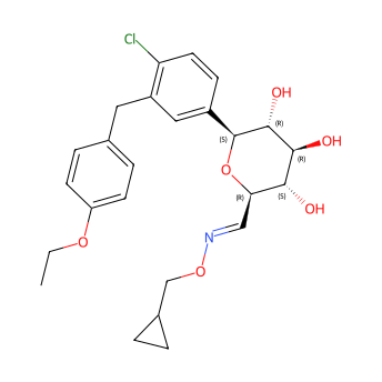 CCOc1ccc(Cc2cc([C@@H]3O[C@H](C=NOCC4CC4)[C@@H](O)[C@H](O)[C@H]3O)ccc2Cl)cc1